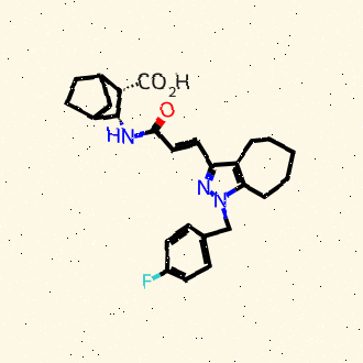 O=C(C=Cc1nn(Cc2ccc(F)cc2)c2c1CCCCC2)N[C@@H]1C2CCC(C2)[C@@H]1C(=O)O